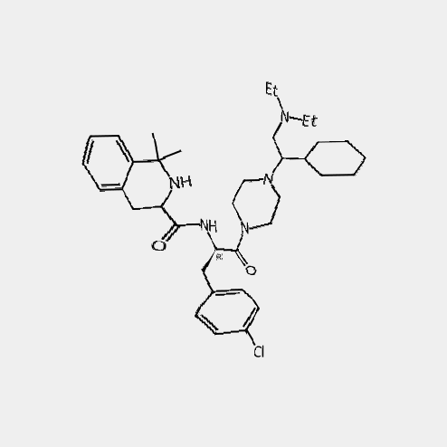 CCN(CC)CC(C1CCCCC1)N1CCN(C(=O)[C@@H](Cc2ccc(Cl)cc2)NC(=O)C2Cc3ccccc3C(C)(C)N2)CC1